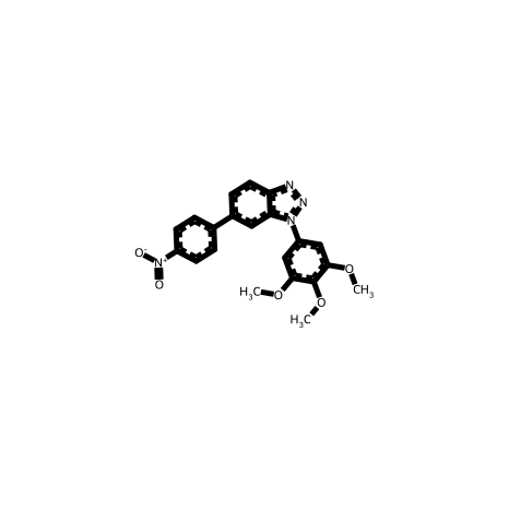 COc1cc(-n2nnc3ccc(-c4ccc([N+](=O)[O-])cc4)cc32)cc(OC)c1OC